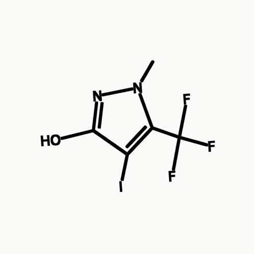 Cn1nc(O)c(I)c1C(F)(F)F